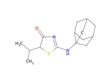 CC(C)C1SC(NC23CC4CC(CC2C4)C3)=NC1=O